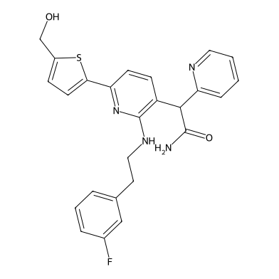 NC(=O)C(c1ccccn1)c1ccc(-c2ccc(CO)s2)nc1NCCc1cccc(F)c1